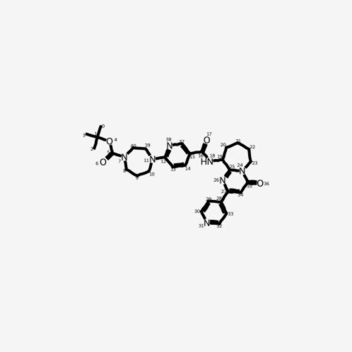 CC(C)(C)OC(=O)N1CCCN(c2ccc(C(=O)NC3CCCCn4c3nc(-c3ccncc3)cc4=O)cn2)CC1